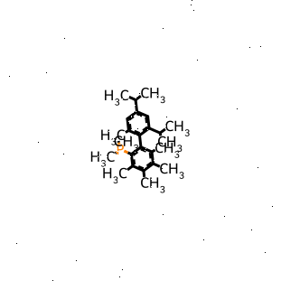 Cc1cc(C(C)C)cc(C(C)C)c1-c1c(C)c(C)c(C)c(C)c1P(C)C